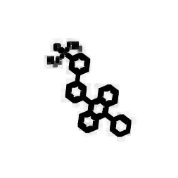 CP(C)(=O)c1cccc(-c2cccc(-c3c4ccccc4c(C4=CCCC=C4)c4ccccc34)c2)c1